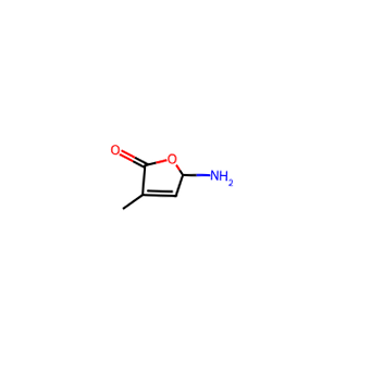 CC1=CC(N)OC1=O